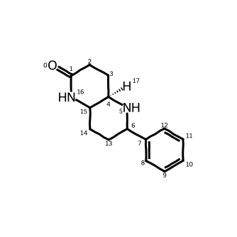 O=C1CC[C@H]2NC(c3ccccc3)CCC2N1